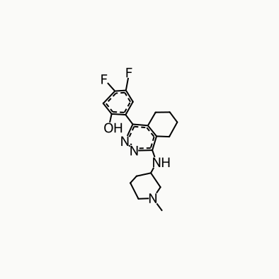 CN1CCCC(Nc2nnc(-c3cc(F)c(F)cc3O)c3c2CCCC3)C1